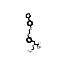 CCOC(Cc1cccc(OCCOc2ccc(C3CCCC3)cc2)c1)C(=O)O